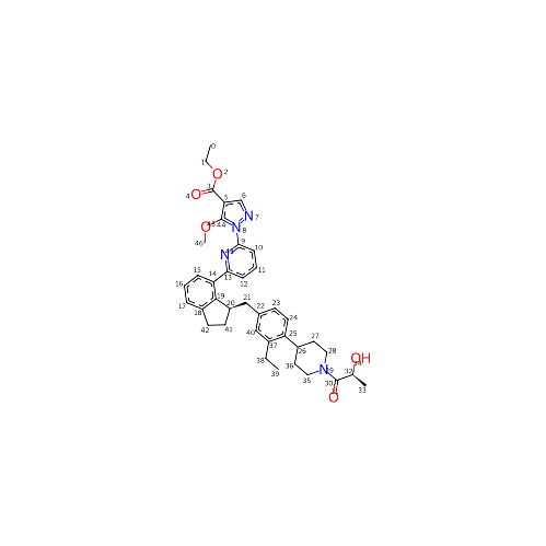 CCOC(=O)c1cnn(-c2cccc(-c3cccc4c3[C@@H](Cc3ccc(C5CCN(C(=O)[C@H](C)O)CC5)c(CC)c3)CC4)n2)c1OC